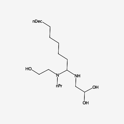 CCCCCCCCCCCCCCCC(NCC(O)O)N(CCC)CCO